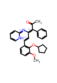 COc1cccc(/C=C/C(/N=c2/cccc[nH]2)=C(/C(C)=O)c2ccccc2)c1OC1CCCC1